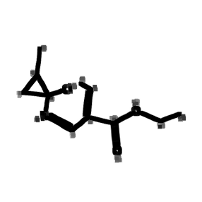 C/C=C(\C=N/C1(Cl)CC1C)C(=O)OCC